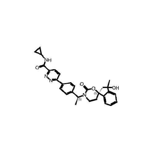 C[C@@H](c1ccc(-c2ccc(C(=O)NC3CC3)nn2)cc1)N1CC[C@](CC(C)(C)O)(c2ccccc2)OC1=O